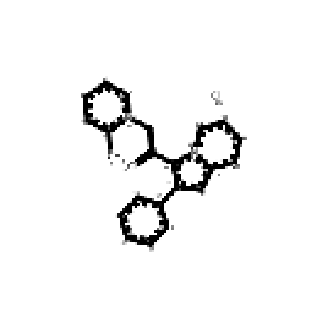 Cc1cccc[n+]1CC(=O)c1c(-c2ccccc2)cc2ccccn12.[Cl-]